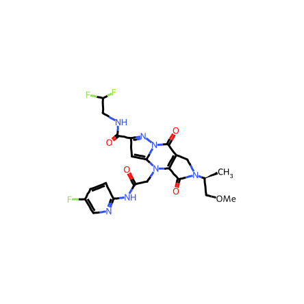 COC[C@H](C)N1Cc2c(n(CC(=O)Nc3ccc(F)cn3)c3cc(C(=O)NCC(F)F)nn3c2=O)C1=O